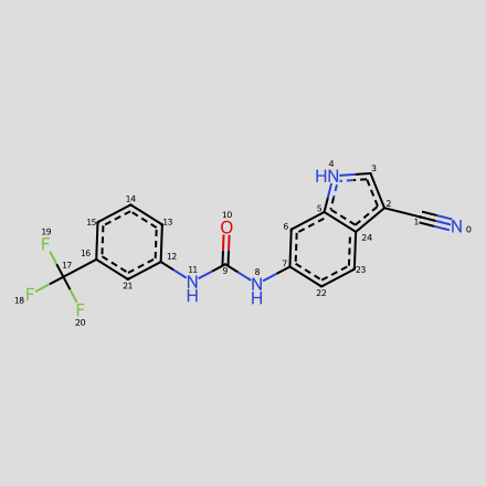 N#Cc1c[nH]c2cc(NC(=O)Nc3cccc(C(F)(F)F)c3)ccc12